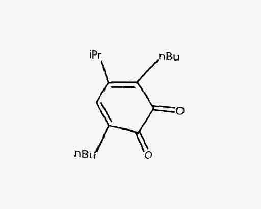 CCCCC1=CC(C(C)C)=C(CCCC)C(=O)C1=O